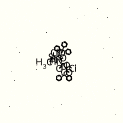 Cc1nc(/C(=N/OC(c2ccccc2)(c2ccccc2)c2ccccc2)C(=O)N[C@@H]2C(=O)N3C(C(=O)OC(c4ccccc4)c4ccccc4)=C(Cl)CCC23)c(Cl)s1